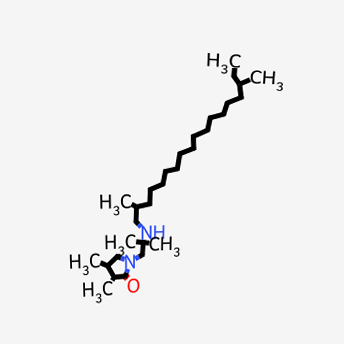 CCC(C)CCCCCCCCCCCCCC(C)CNC(C)(C)CN1CC(C)C(C)C1=O